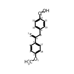 COc1ccc(C(=S)Cc2ccc(OO)cc2)cc1